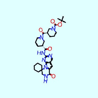 CC(C)(C)OC(=O)N1CCC[C@@H](C(=O)N2CCC[C@@H](C(=O)Nc3ncc4cc5n(c4n3)C3(CCCCC3)CNC5=O)C2)C1